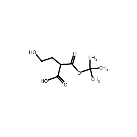 CC(C)(C)OC(=O)C(CCO)C(=O)O